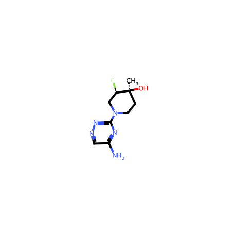 C[C@]1(O)CCN(c2nncc(N)n2)C[C@H]1F